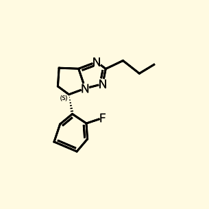 CCCc1nc2n(n1)[C@H](c1ccccc1F)CC2